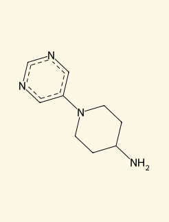 NC1CCN(c2cncnc2)CC1